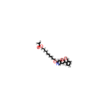 C=C(C)C(=O)OCCCCCCCCCCOc1cc2oc(=O)c(-c3ccccc3C)cc2cn1